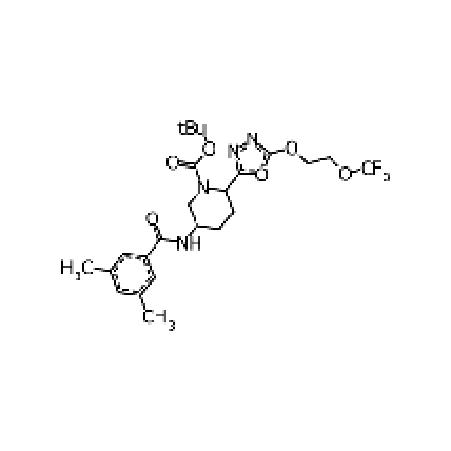 Cc1cc(C)cc(C(=O)NC2CCC(c3nnc(OCCOC(F)(F)F)o3)N(C(=O)OC(C)(C)C)C2)c1